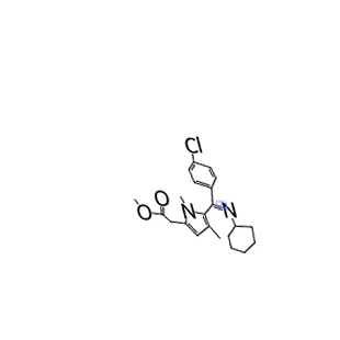 COC(=O)Cc1cc(C)c(/C(=N\C2CCCCC2)c2ccc(Cl)cc2)n1C